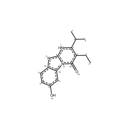 CCc1c(C(C)C)[nH]c2nc3ccc(O)cc3n2c1=O